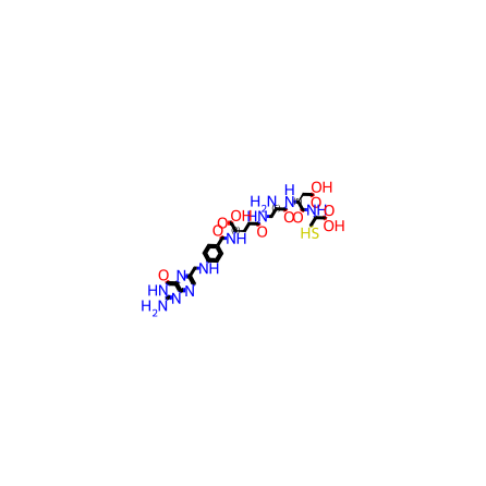 Nc1nc2ncc(CNc3ccc(C(=O)N[C@H](CCC(=O)NC[C@H](N)C(=O)N[C@@H](CC(=O)O)C(=O)NC(CS)C(=O)O)C(=O)O)cc3)nc2c(=O)[nH]1